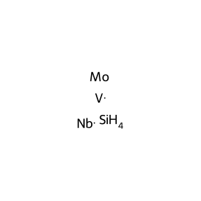 [Mo].[Nb].[SiH4].[V]